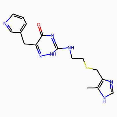 Cc1[nH]cnc1CSCCNc1nc(=O)c(Cc2cccnc2)n[nH]1